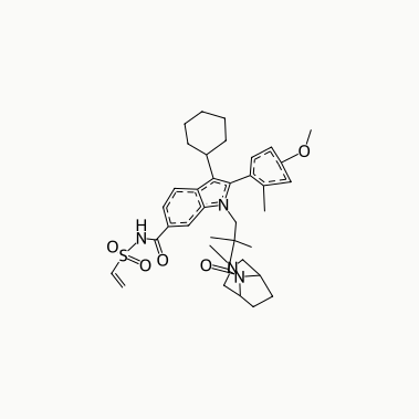 C=CS(=O)(=O)NC(=O)c1ccc2c(C3CCCCC3)c(-c3ccc(OC)cc3C)n(CC(C)(C)C(=O)N3C4CCC3CN(C)C4)c2c1